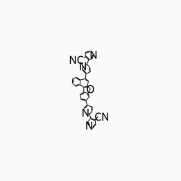 N#Cc1ccncc1-c1ccc(-c2ccc3c(c2)oc2cc(-c4ccc(-c5cnccc5C#N)nc4)c4ccccc4c23)cn1